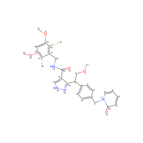 COCC(c1ccc(Cn2ccccc2=O)cc1)c1n[nH]cc1C(=O)NCc1c(F)c(OC)cc(OC)c1F